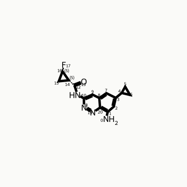 Nc1cc(C2CC2)cc2cc(NC(=O)[C@@H]3C[C@@H]3F)nnc12